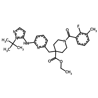 CCOC(=O)C1(Cc2cccc(Nc3ccnn3C(C)(C)C)n2)CCN(C(=O)c2cccc(C)c2F)CC1